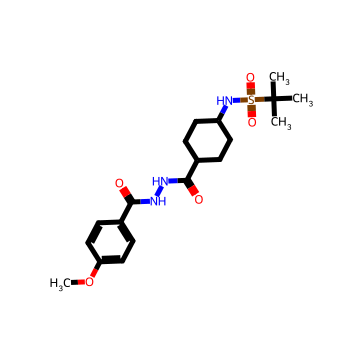 COc1ccc(C(=O)NNC(=O)C2CCC(NS(=O)(=O)C(C)(C)C)CC2)cc1